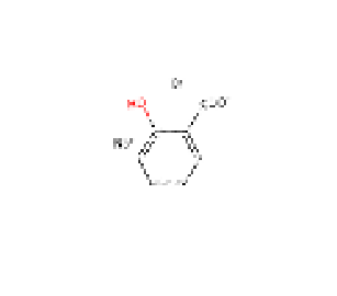 O=C([O-])c1ccccc1O.[Cr].[Na+]